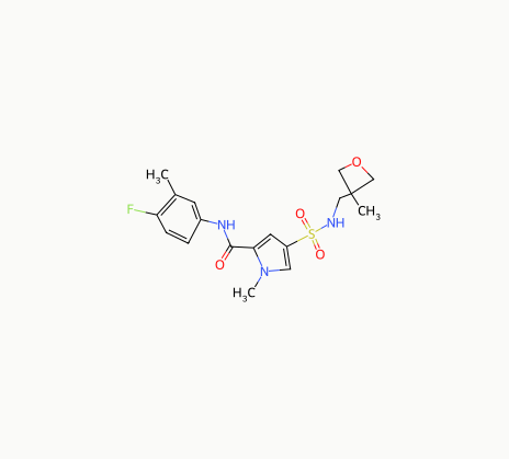 Cc1cc(NC(=O)c2cc(S(=O)(=O)NCC3(C)COC3)cn2C)ccc1F